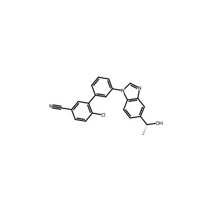 C[C@@H](O)c1ccc2c(c1)ncn2-c1cccc(-c2cc(C#N)ccc2Cl)c1